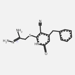 N#Cc1c(Cc2ccccc2)cc(=O)[nH]c1SC/C(N)=N/N